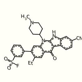 CCc1cc2c(=O)c3c4ccc(C#N)cc4[nH]c3n(C3CCN(C)CC3)c2cc1-c1cccc(S(=O)(=O)F)c1